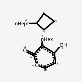 CCCCCCCC1CCC1.CCCCCCc1c(O)ccoc1=O